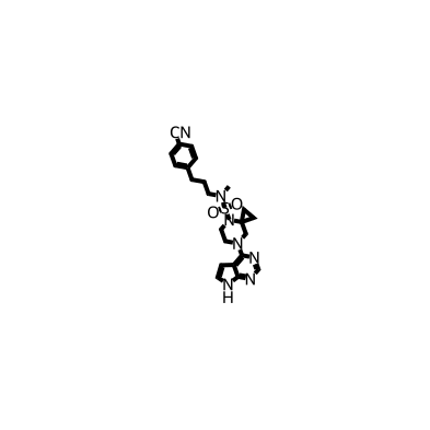 CN(CCCc1ccc(C#N)cc1)S(=O)(=O)N1CCN(c2ncnc3[nH]ccc23)CC12CC2